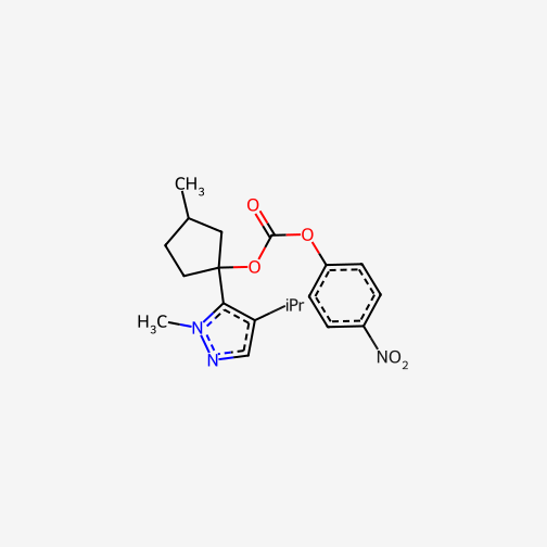 CC1CCC(OC(=O)Oc2ccc([N+](=O)[O-])cc2)(c2c(C(C)C)cnn2C)C1